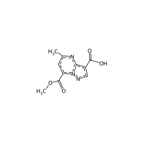 COC(=O)c1cc(C)nc2c(C(=O)O)cnn12